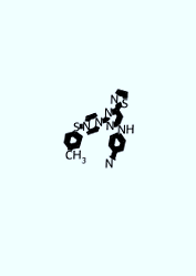 Cc1ccc(SN2CCN(c3nc(Nc4ccc(C#N)cc4)cc(-c4nccs4)n3)CC2)cc1